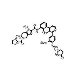 COc1cc(-c2nccc(-c3cccc(NC(=O)c4nc5c(n4C)CCN(C(=O)[C@@H]4CCCN4C)C5)c3Cl)c2Cl)ccc1CNC[C@@H]1CCC(=O)N1